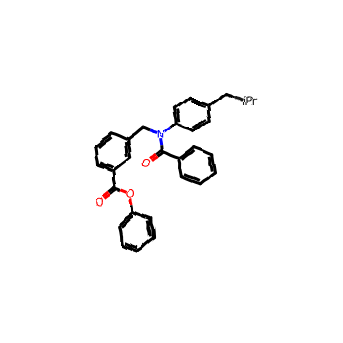 CC(C)Cc1ccc(N(Cc2cccc(C(=O)Oc3ccccc3)c2)C(=O)c2ccccc2)cc1